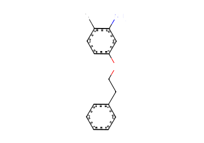 Nc1cc(OCCc2ccccc2)ccc1[N+](=O)[O-]